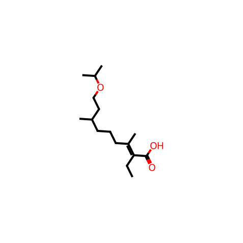 CCC(C(=O)O)=C(C)CCCC(C)CCOC(C)C